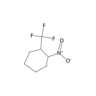 O=[N+]([O-])C1[CH]CCCC1C(F)(F)F